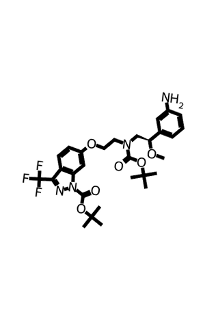 CO[C@@H](CN(CCOc1ccc2c(C(F)(F)F)nn(C(=O)OC(C)(C)C)c2c1)C(=O)OC(C)(C)C)c1cccc(N)c1